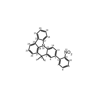 CC1(C)c2cc(-c3ccccc3[N+](=O)[O-])ccc2-n2c3ccccc3c3cccc1c32